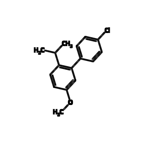 COc1ccc(C(C)C)c(-c2ccc(Cl)cc2)c1